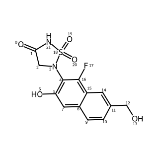 O=C1CN(c2c(O)cc3ccc(CO)cc3c2F)S(=O)(=O)N1